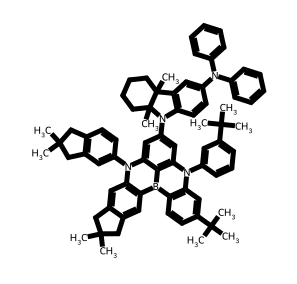 CC1(C)Cc2ccc(N3c4cc5c(cc4B4c6ccc(C(C)(C)C)cc6N(c6cccc(C(C)(C)C)c6)c6cc(N7c8ccc(N(c9ccccc9)c9ccccc9)cc8C8(C)CCCCC78C)cc3c64)CC(C)(C)C5)cc2C1